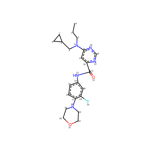 CCCN(CC1CC1)c1cc(C(=O)Nc2ccc(N3CCOCC3)c(F)c2)ncn1